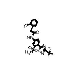 NS(=O)(=O)c1cc(NC(=O)Cc2ccccc2Cl)ccc1-c1nc(C(F)(F)F)no1